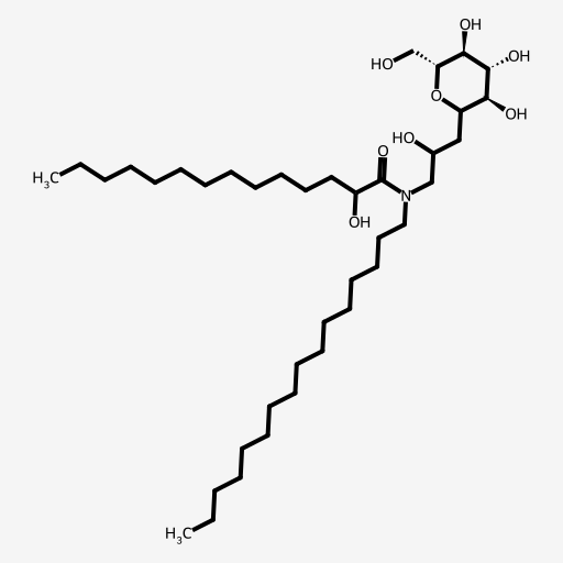 CCCCCCCCCCCCCCCCN(CC(O)CC1O[C@H](CO)[C@@H](O)[C@H](O)[C@H]1O)C(=O)C(O)CCCCCCCCCCCC